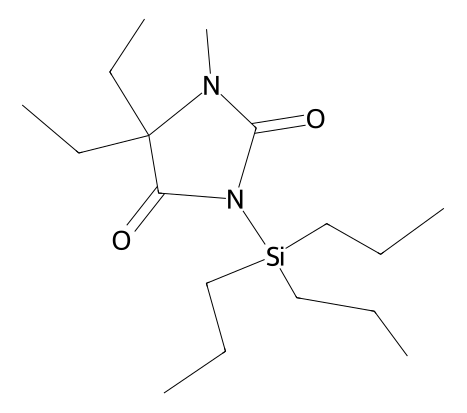 CCC[Si](CCC)(CCC)N1C(=O)N(C)C(CC)(CC)C1=O